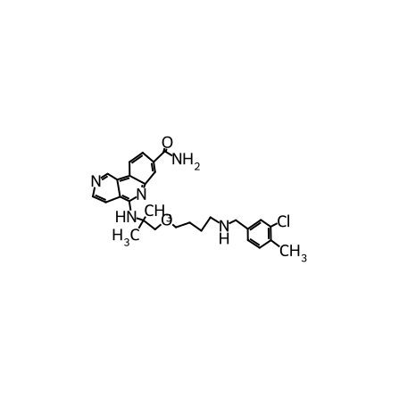 Cc1ccc(CNCCCCOCC(C)(C)Nc2nc3cc(C(N)=O)ccc3c3cnccc23)cc1Cl